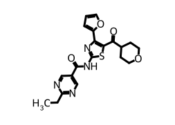 CCc1ncc(C(=O)Nc2nc(-c3ccco3)c(C(=O)C3CCOCC3)s2)cn1